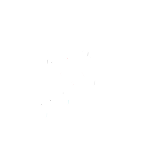 CO[Si](OC)(OC)OC(F)(F)C(F)(F)C(F)(F)F